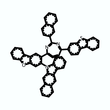 C1=CC(c2ccc3c(c2)sc2ccccc23)=NC(c2ccc3ccccc3c2)=NC=1c1cc2c(cc1-n1c3ccccc3c3cc4ccccc4cc31)oc1ccccc12